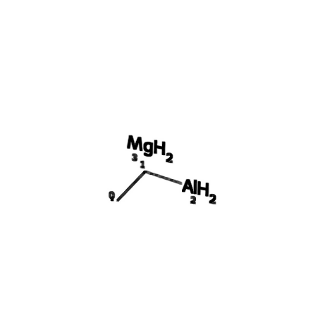 [CH2][CH2][AlH2].[MgH2]